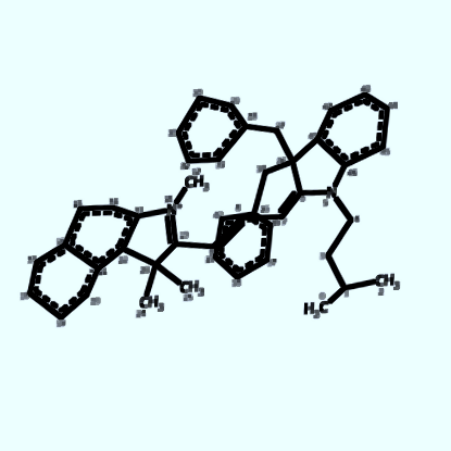 CC(C)CCN1/C(=C/C=C/C2=[N+](C)c3ccc4ccccc4c3C2(C)C)C(Cc2ccccc2)(Cc2ccccc2)c2ccccc21